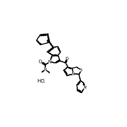 CN(C)C(=O)n1cc(C(=O)c2ccn3c2CSC3c2cccnc2)c2ccc(-c3ccccc3)cc21.Cl